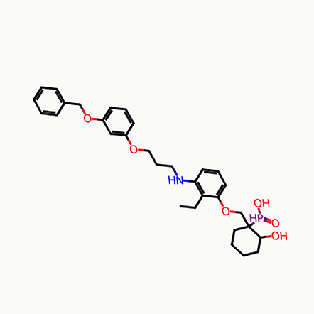 CCc1c(NCCCOc2cccc(OCc3ccccc3)c2)cccc1OCC1([PH](=O)O)CCCCC1O